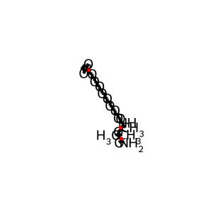 CC(CCOC(C)(C)CCC(N)=O)NCOOCCOCCOCCOCCOCCOCCOCCOCCN1C(=O)C=CC1=O